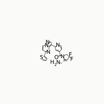 NC[C@H]1CC(F)(F)CN1C(=O)c1ccnc(-c2cnn3ccc(-c4cccs4)nc23)c1